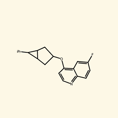 CC(C)C1C2CC(Oc3ccnc4ccc(F)cc34)CC21